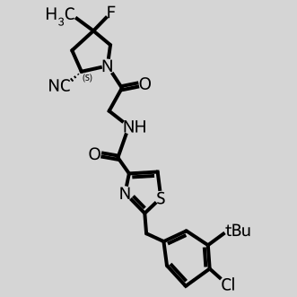 CC1(F)C[C@@H](C#N)N(C(=O)CNC(=O)c2csc(Cc3ccc(Cl)c(C(C)(C)C)c3)n2)C1